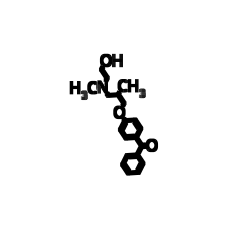 CC(COc1ccc(C(=O)c2ccccc2)cc1)CN(C)CCO